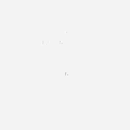 CN(C)CCN1CCCCCC1